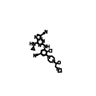 N#Cc1cc(Nc2nc(NC3CC3)c3ncc(C#N)n3n2)c(Cl)c(N2CCN(C(=O)CN3CCC3)CC2)c1